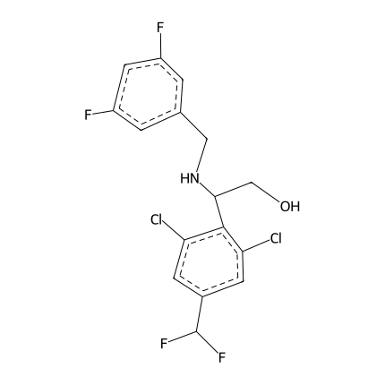 OCC(NCc1cc(F)cc(F)c1)c1c(Cl)cc(C(F)F)cc1Cl